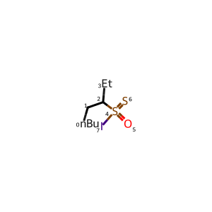 CCCCCC(CC)S(=O)(=S)I